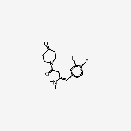 CN(C)/C(=C/c1ccc(F)c(F)c1)CC(=O)N1CCC(=O)CC1